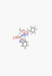 C=CC[C@H](NC(=O)OCc1ccccc1)C(O)c1nc2ccccc2o1